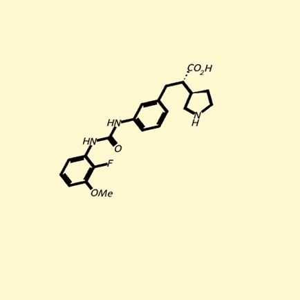 COc1cccc(NC(=O)Nc2cccc(C[C@H](C(=O)O)[C@H]3CCNC3)c2)c1F